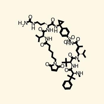 CN[C@H](C(=O)N[C@H](C(=O)N(C)[C@H](C=C(C)C(=O)NS(=O)(=O)c1ccc(C2(NC(=O)[C@@H](CCCNC(N)=O)NC(=O)[C@H](NC(=O)CCCCCN3C(=O)C=CC3=O)C(C)C)CC2)cc1)C(C)C)C(C)(C)C)C(C)(C)c1ccccc1